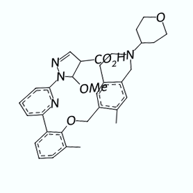 COC1C(C(=O)O)C=NN1c1cccc(-c2cccc(C)c2OCc2cc3c(cc2C)CN(C2CCOCC2)CC3)n1